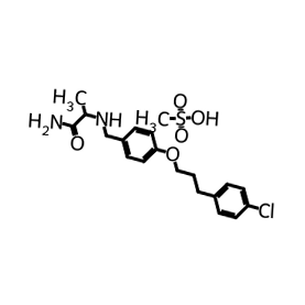 CC(NCc1ccc(OCCCc2ccc(Cl)cc2)cc1)C(N)=O.CS(=O)(=O)O